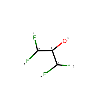 [O]C(C(F)F)C(F)F